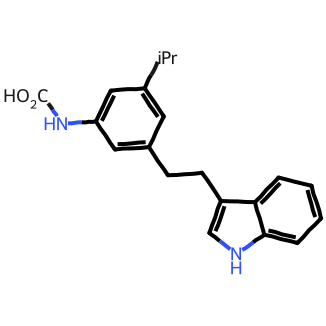 CC(C)c1cc(CCc2c[nH]c3ccccc23)cc(NC(=O)O)c1